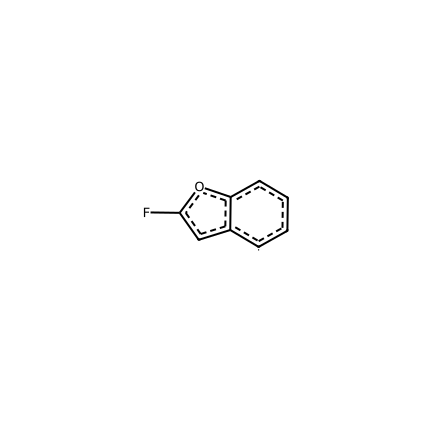 Fc1cc2[c]cccc2o1